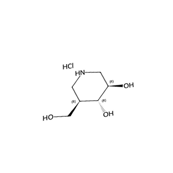 Cl.OC[C@H]1CNC[C@@H](O)[C@@H]1O